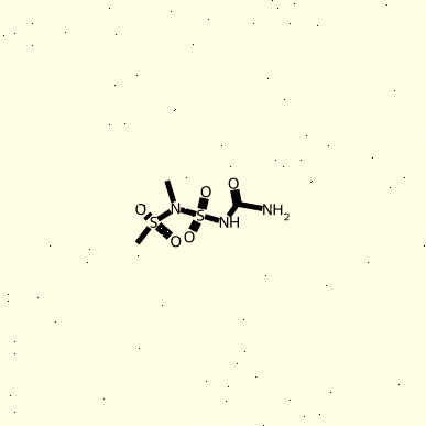 CN(S(C)(=O)=O)S(=O)(=O)NC(N)=O